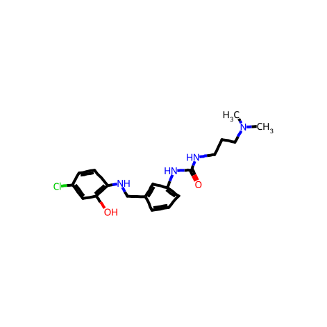 CN(C)CCCNC(=O)Nc1cccc(CNc2ccc(Cl)cc2O)c1